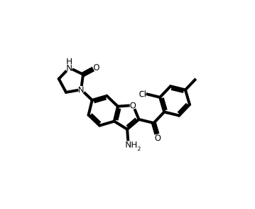 Cc1ccc(C(=O)c2oc3cc(N4CCNC4=O)ccc3c2N)c(Cl)c1